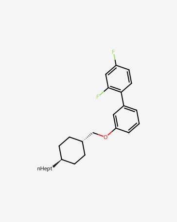 CCCCCCC[C@H]1CC[C@H](COc2[c]ccc(-c3ccc(F)cc3F)c2)CC1